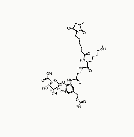 [2H]C(=O)OCc1ccc(O[C@@H]2O[C@H](C(=O)O)[C@@H](O)[C@H](O)[C@H]2O)c(NC(=O)CCNC(=O)C(CCCCNC)NC(=O)CCCCCN2C(=O)CC(C)C2=O)c1